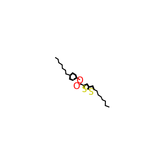 CCCCCCCc1ccc(OC(=O)c2cc3cc(CCCCCCC)sc3s2)cc1